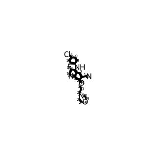 N#Cc1cc2c(Nc3ccc(Cl)cc3F)ccnc2cc1OCCCN1CCOCC1